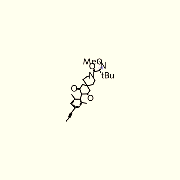 CC#Cc1cc(C)c(C2C(=O)CC3(CCN(C(=O)/C(=N\OC)C(C)(C)C)CC3)CC2=O)c(C)c1